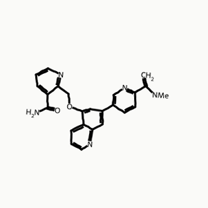 C=C(NC)c1ccc(-c2cc(OCc3ncccc3C(N)=O)c3cccnc3c2)cn1